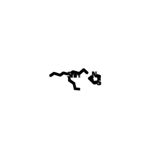 CCC[CH2][SnH]([CH2]CCC)[CH2]CCC.c1cscn1